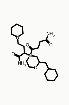 NC(=O)CCC(=O)[N+]1(C(CCN2CCCCC2)C(N)=O)CCOC(CC2CCCCC2)C1